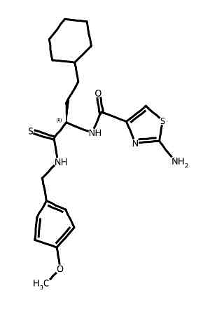 COc1ccc(CNC(=S)[C@@H](CCC2CCCCC2)NC(=O)c2csc(N)n2)cc1